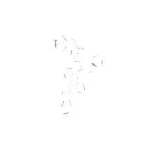 c1ccc(-c2cc3ccc4ccccc4c3cc2-c2c3ccccc3c(-c3cccc4c3oc3ccc5ccccc5c34)c3ccccc23)cc1